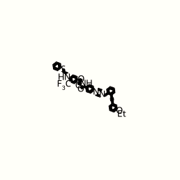 CCOc1cccc(C#Cc2ccccc2CN2CCN(c3ccc(C(=O)NS(=O)(=O)c4ccc(NCCSc5ccccc5)c(C(F)(F)F)c4)cc3)CC2)c1